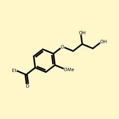 CCC(=O)c1ccc(OCC(O)CO)c(OC)c1